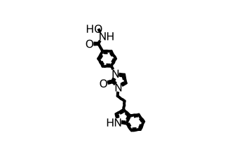 O=C(NO)c1ccc(-n2ccn(CCc3c[nH]c4ccccc34)c2=O)cc1